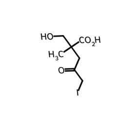 CC(CO)(CC(=O)CI)C(=O)O